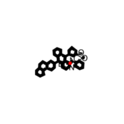 CCc1nc2cccc3c2n1-c1c(-c2c4ccccc4c(-c4ccc5c(ccc6ccccc65)c4)c4ccccc24)cccc1S3(=O)=O